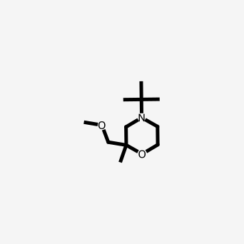 COCC1(C)CN(C(C)(C)C)CCO1